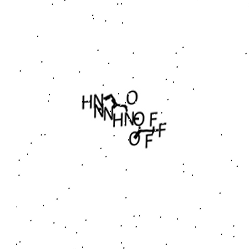 O=C(NOC(=O)C(F)(F)F)c1c[nH]nn1